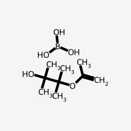 C=C(C)OC(C)(C)C(C)(C)O.OB(O)O